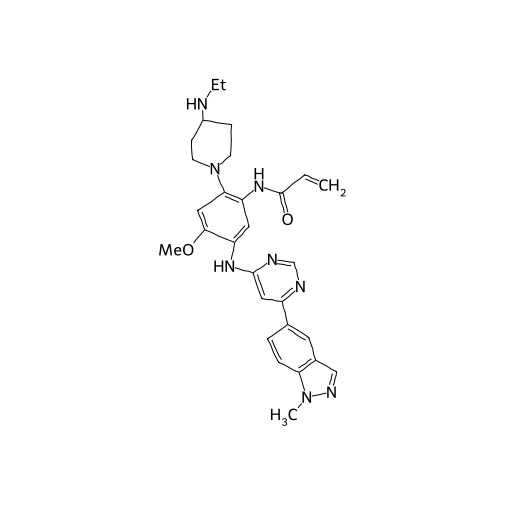 C=CC(=O)Nc1cc(Nc2cc(-c3ccc4c(cnn4C)c3)ncn2)c(OC)cc1N1CCC(NCC)CC1